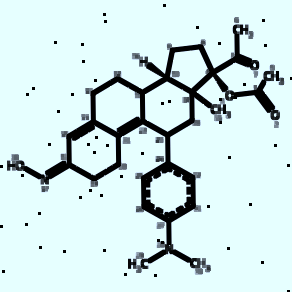 CC(=O)O[C@]1(C(C)=O)CC[C@H]2C3CCC4=C/C(=N\O)CCC4=C3C(c3ccc(N(C)C)cc3)CC21C